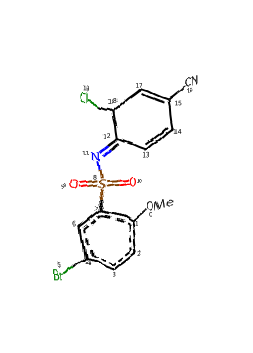 COc1ccc(Br)cc1S(=O)(=O)N=C1C=CC(C#N)=CC1Cl